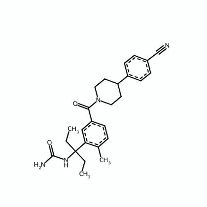 CCC(CC)(NC(N)=O)c1cc(C(=O)N2CCC(c3ccc(C#N)cc3)CC2)ccc1C